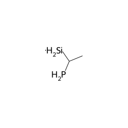 CC([SiH2])P